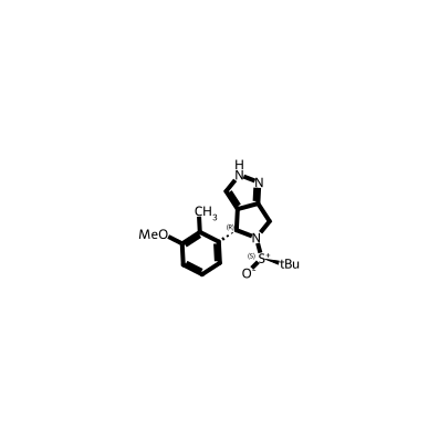 COc1cccc([C@@H]2c3c[nH]nc3CN2[S@+]([O-])C(C)(C)C)c1C